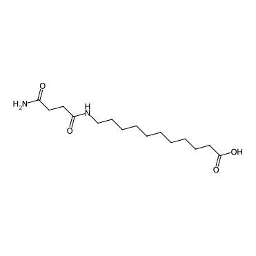 NC(=O)CCC(=O)NCCCCCCCCCCC(=O)O